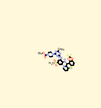 COc1nc(Nc2cc(S(C)(=O)=O)ccc2N[C@@H](c2cccc3c2OC(F)(F)O3)c2ncccc2Cl)nc(N2CCN(C(=O)OC(C)(C)C)CC2)n1